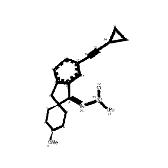 CO[C@H]1CC[C@@]2(CC1)Cc1ccc(C#CC3CC3)cc1C2=N[S+]([O-])C(C)(C)C